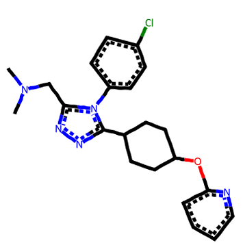 CN(C)Cc1nnc(C2CCC(Oc3ccccn3)CC2)n1-c1ccc(Cl)cc1